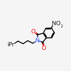 CC(C)CCCCN1C(=O)c2ccc([N+](=O)[O-])cc2C1=O